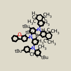 Cc1cc(C(C)(C)C)ccc1N(c1ccc2c(c1)N(c1ccc3c(oc4ccccc43)c1C(C)(C)C)c1cc(C(C)(C)C)cc3c1B2c1cc2c(cc1N3c1ccc3c(c1)C(C)(C)CCC3(C)C)C(C)(C)CCC2(C)C)c1ccc(C(C)(C)C)cc1C